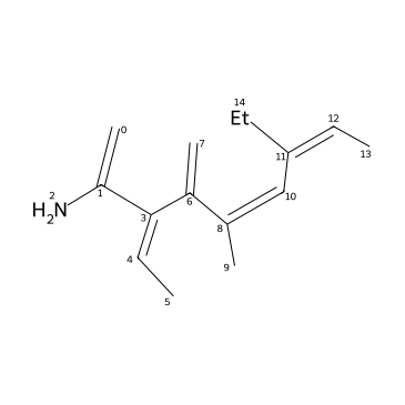 C=C(N)/C(=C/C)C(=C)/C(C)=C\C(=C/C)CC